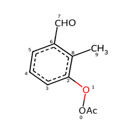 CC(=O)OOc1cccc(C=O)c1C